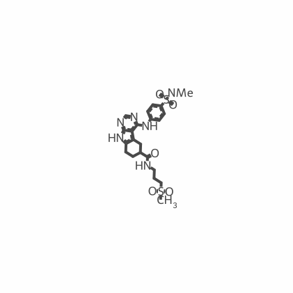 CNS(=O)(=O)c1ccc(Nc2ncnc3[nH]c4c(c23)CC(C(=O)NCCCS(C)(=O)=O)CC4)cc1